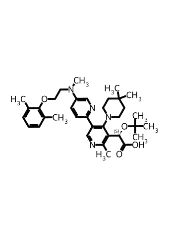 Cc1cccc(C)c1OCCN(C)c1ccc(-c2cnc(C)c([C@H](OC(C)(C)C)C(=O)O)c2N2CCC(C)(C)CC2)nc1